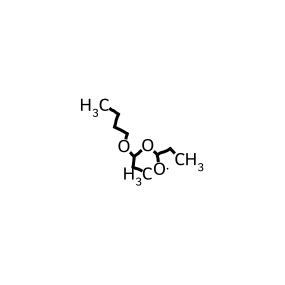 CCCCOC(CC)OC([O])CC